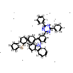 C1#CCc2c(c3ccc(-c4cccc5c4sc4ccccc45)cc3n2-c2ccc(-c3nc(-c4ccccc4)nc(-c4ccccc4)n3)cc2C2=CC=CCC2)C=C1